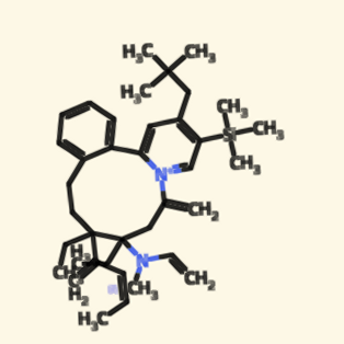 C=CN(C)C1(CC)CC(=C)[n+]2cc([Si](C)(C)C)c(CC(C)(C)C)cc2-c2ccccc2CCC1(CC)C(=C)/C=C\C